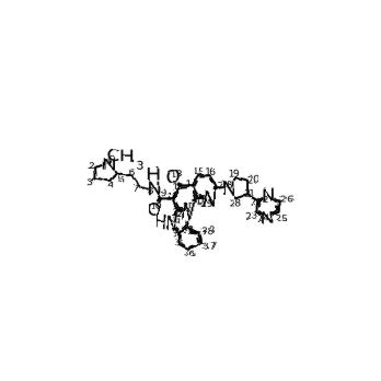 CN1CCCC1CCNC(=O)c1c(=O)c2ccc(N3CCC(c4cnccn4)C3)nc2n2c1[nH]c1ccccc12